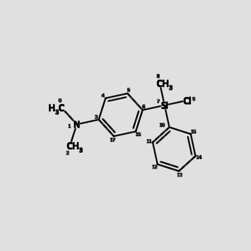 CN(C)c1ccc([Si](C)(Cl)c2ccccc2)cc1